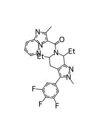 CCC1Cc2c(nn(C)c2-c2cc(F)c(F)c(F)c2)C(CC)N1C(=O)c1c(C)nc2cccnn12